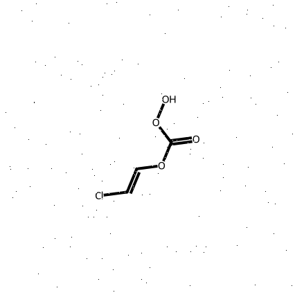 O=C(OO)OC=CCl